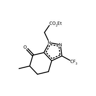 CCOC(=O)Cn1nc(C(F)(F)F)c2c1C(=O)C(C)CC2